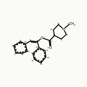 CN1CCC(C(=O)O/C(=C/c2ccccc2)c2ccccc2)CC1